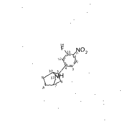 O=[N+]([O-])c1ccc(C2CC3CCC2N3)cc1F